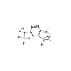 CC1(C)[C@H]2CC[C@]1(C)c1nnc(C3(C(F)(F)F)CC3)cc12